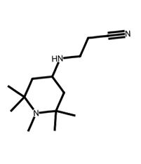 CN1C(C)(C)CC(NCCC#N)CC1(C)C